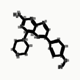 CC(C)Oc1ccc(-c2cnc3nc(N)nc(N4CCOCC4)c3n2)cc1